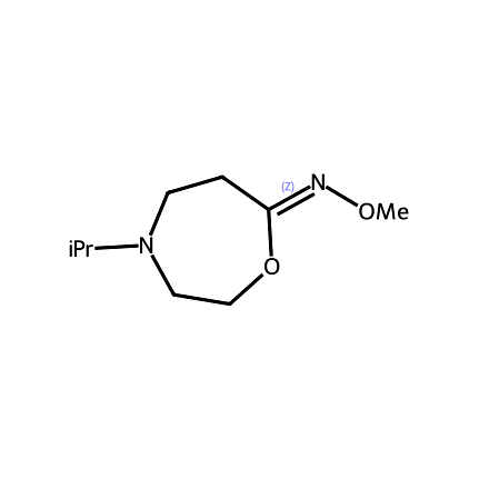 CO/N=C1/CCN(C(C)C)CCO1